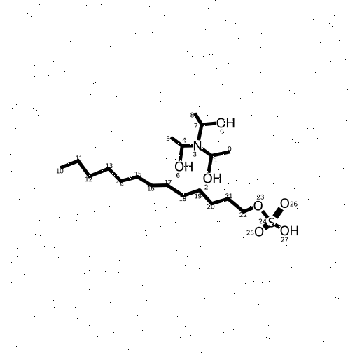 CC(O)N(C(C)O)C(C)O.CCCCCCCCCCCCCOS(=O)(=O)O